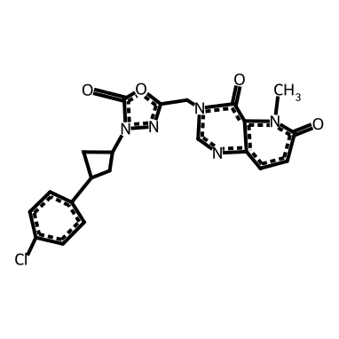 Cn1c(=O)ccc2ncn(Cc3nn(C4CC(c5ccc(Cl)cc5)C4)c(=O)o3)c(=O)c21